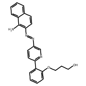 Nc1c(N=Nc2ccc(-c3ccccc3OCCCO)nc2)ccc2ccccc12